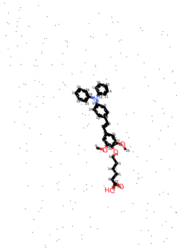 COc1cc(C=Cc2ccc(N(c3ccccc3)c3ccccc3)cc2)cc(OC)c1OCCCCCC(=O)O